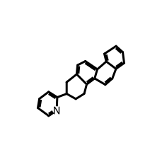 c1ccc(C2CCc3c(ccc4c3ccc3ccccc34)C2)nc1